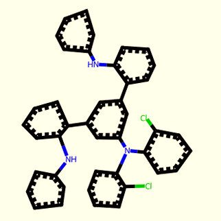 Clc1ccccc1N(c1cc(-c2ccccc2Nc2ccccc2)cc(-c2ccccc2Nc2ccccc2)c1)c1ccccc1Cl